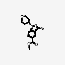 COC(=O)c1ccc2c(c1)c(Br)nn2C1CCOCC1